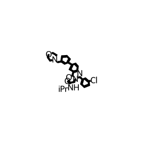 CC(C)NC(=O)Cn1c(-c2cccc(Cl)c2)nc2ccc(-c3cccc(CN4CCOCC4)c3)cc2c1=O